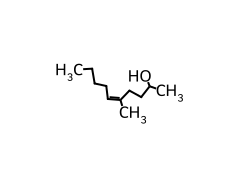 CCCCC=C(C)CCC(C)O